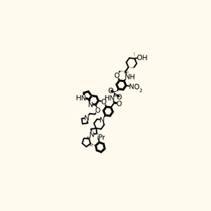 CC(C)c1ccccc1[C@@H]1CCC[C@@H]1N1CC2(CCN(c3ccc(C(=O)NS(=O)(=O)c4cc5c(c([N+](=O)[O-])c4)N[C@@H]([C@H]4CC[C@](C)(O)CC4)CO5)c(Oc4cc5cc[nH]c5nc4OCCN4CCC4)c3)CC2)C1